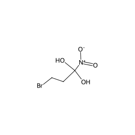 O=[N+]([O-])C(O)(O)CCBr